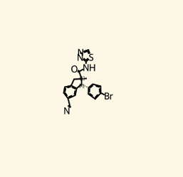 C[C@]1(C(=O)Nc2nncs2)Cc2ccc(C#N)cc2[C@H]1c1ccc(Br)cc1